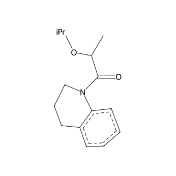 CC(C)OC(C)C(=O)N1CCCc2ccccc21